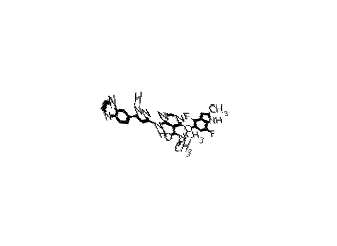 Cc1cc2c(F)c(Oc3ncnc(Nc4cc(-c5ccc6nccnc6c5)[nH]n4)c3C(=O)N(C)C)cc(F)c2[nH]1